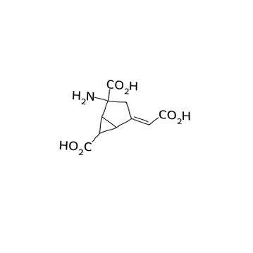 NC1(C(=O)O)C/C(=C\C(=O)O)C2C(C(=O)O)C21